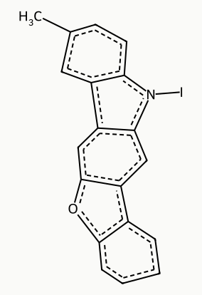 Cc1ccc2c(c1)c1cc3oc4ccccc4c3cc1n2I